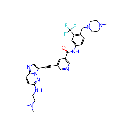 CN(C)CCNc1ccc2ncc(C#Cc3cncc(C(=O)Nc4ccc(CN5CCN(C)CC5)c(C(F)(F)F)c4)c3)n2n1